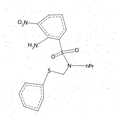 CCCN(CSc1ccccc1)S(=O)(=O)c1cccc([N+](=O)[O-])c1N